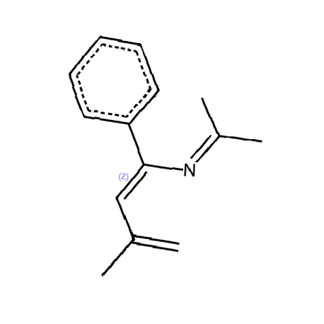 C=C(C)/C=C(\N=C(C)C)c1ccccc1